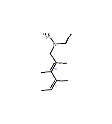 BN(CC)C/C(C)=C(C)/C(C)=C\C